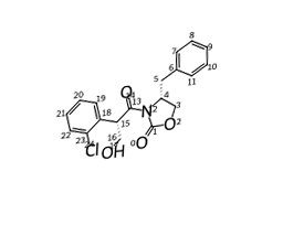 O=C1OC[C@@H](Cc2ccccc2)N1C(=O)[C@H](CO)c1ccccc1Cl